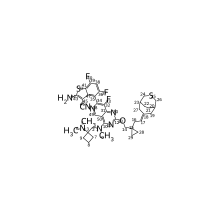 CN(CC1(N(C)C)CCC1)c1nc(OCC2(CC=C3CC4CCC(CSC4)C3)CC2)nc2c(F)c(-c3c(F)cc(F)c4sc(N)c(C#N)c34)ncc12